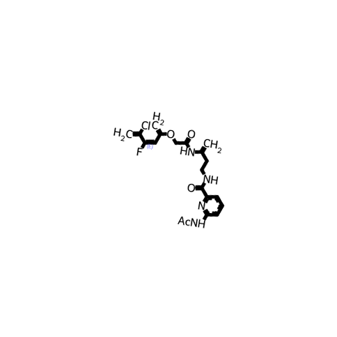 C=C(CCNC(=O)c1cccc(NC(C)=O)n1)NC(=O)COC(=C)/C=C(/F)C(=C)Cl